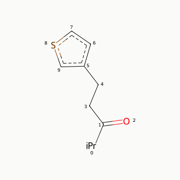 CC(C)C(=O)CCc1ccsc1